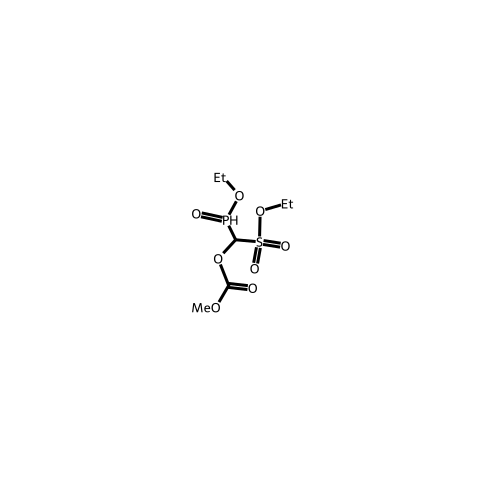 CCO[PH](=O)C(OC(=O)OC)S(=O)(=O)OCC